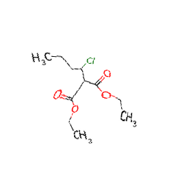 CCCC(Cl)C(C(=O)OCC)C(=O)OCC